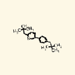 CC(C)(C)Cc1ccc(-c2ccc(CC(C)(C)C)nc2)cc1